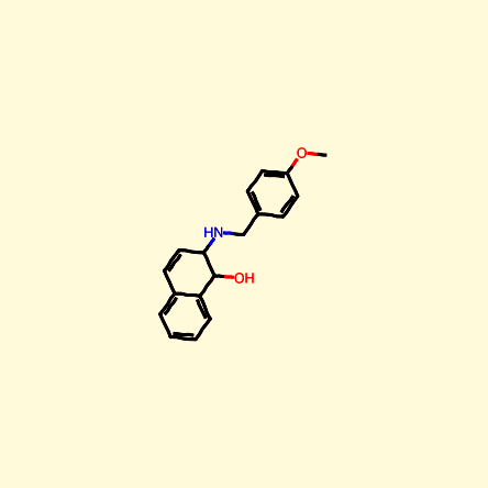 COc1ccc(CNC2C=Cc3ccccc3C2O)cc1